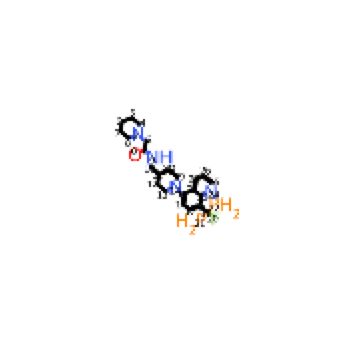 O=C(CN1CCCCC1)NCC1CCN(c2ccc(C(F)(P)P)c3ncccc23)CC1